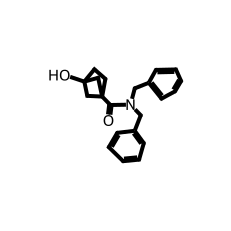 O=C(N(Cc1ccccc1)Cc1ccccc1)C12CCC(O)(C1)C2